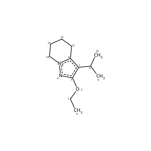 CCOc1nn2c(c1C(C)C)CCCC2